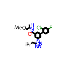 COCC(C)NC(=O)c1cc(-c2ccc(F)cc2Cl)cc(-n2nnnc2CC(C)C)c1